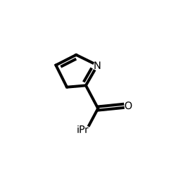 CC(C)C(=O)C1=NC=CC1